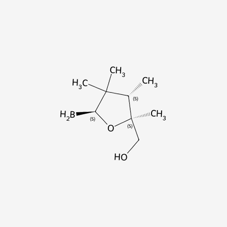 B[C@@H]1O[C@](C)(CO)[C@@H](C)C1(C)C